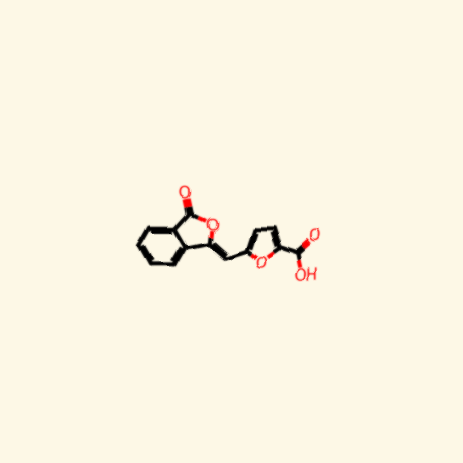 O=C(O)c1ccc(C=C2OC(=O)c3ccccc32)o1